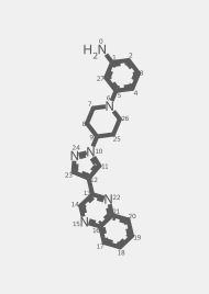 Nc1cccc(N2CCC(n3cc(-c4cnc5ccccc5n4)cn3)CC2)c1